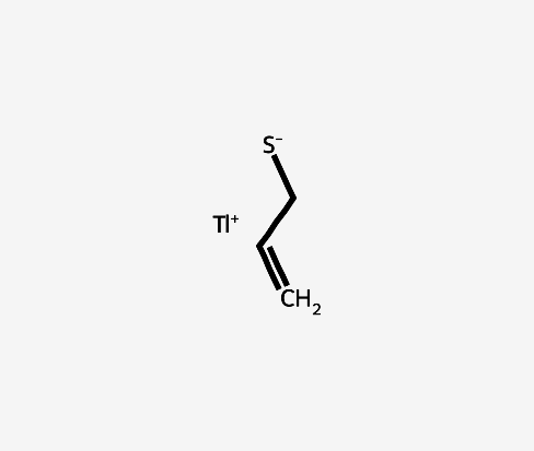 C=CC[S-].[Tl+]